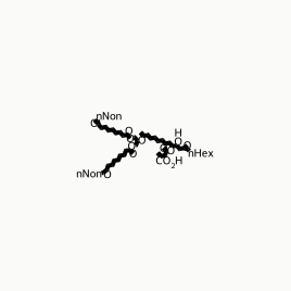 C=C(CCCCCCCC(OC(=O)CC(=C)C(=O)O)C(O)CC1OC1CCCCCC)OC(COC(=O)CCCCCCCC1OC1CCCCCCCCC)COC(=O)CCCCCCCC1OC1CCCCCCCCC